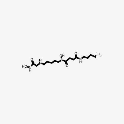 CCCCCNC(=O)CCC(=O)N(O)CCCCCNCC(=O)NO